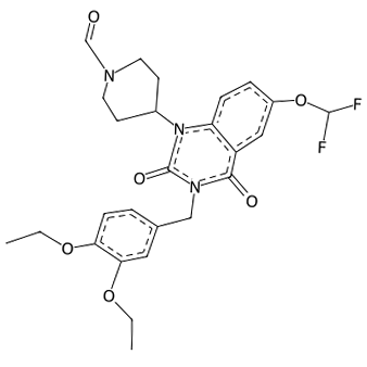 CCOc1ccc(Cn2c(=O)c3cc(OC(F)F)ccc3n(C3CCN(C=O)CC3)c2=O)cc1OCC